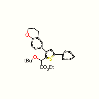 CCOC(=O)C(OC(C)(C)C)c1sc(-c2ccccc2)cc1-c1ccc2c(c1)CCCO2